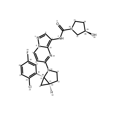 O=C(Nc1cnn2ccc(N3CC[C@H]4C[C@]43c3cc(F)ccc3Cl)nc12)N1CC[C@@H](O)C1